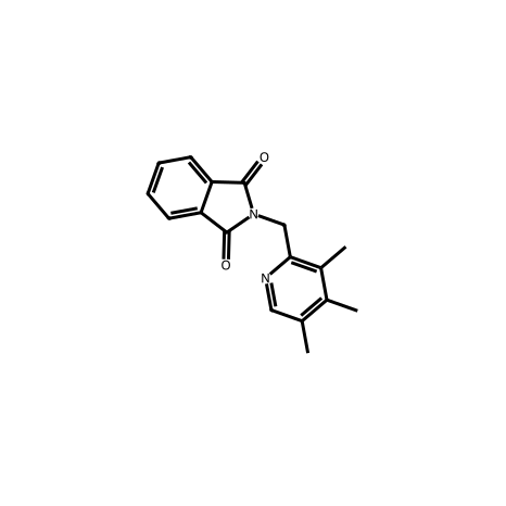 Cc1cnc(CN2C(=O)c3ccccc3C2=O)c(C)c1C